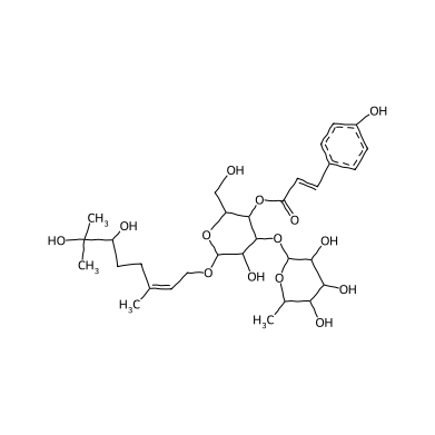 CC(=CCOC1OC(CO)C(OC(=O)C=Cc2ccc(O)cc2)C(OC2OC(C)C(O)C(O)C2O)C1O)CCC(O)C(C)(C)O